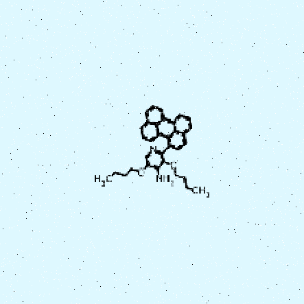 CCCCOc1cnc(-c2ccc3cccc4c5cccc6cccc(c2c34)c65)c(OCCCC)c1N